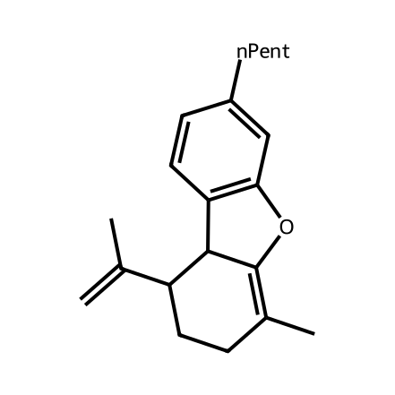 C=C(C)C1CCC(C)=C2Oc3cc(CCCCC)ccc3C21